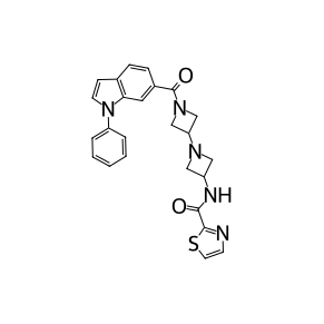 O=C(NC1CN(C2CN(C(=O)c3ccc4ccn(-c5ccccc5)c4c3)C2)C1)c1nccs1